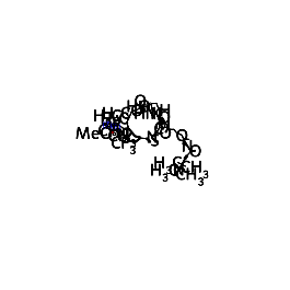 C=C/C(=C(\N=C/C)[C@H](C)OC)c1c2c3cc(ccc3n1CC(F)(F)F)-c1csc(n1)C[C@H](NC(=O)CCOC1CN(C(=O)C#CC(C)(C)N(C)C)C1)C(=O)N1CCC[C@@](O)(N1)C(=O)OCC(C)(C)C2